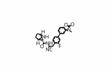 Cn1c(=O)oc2ccc(-c3ccc(C[C@@H](C#N)NC(=O)[C@@H]4N[C@@H]5CC[C@H]4C5)c(F)c3)cc21